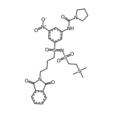 C[Si](C)(C)CCS(=O)(=O)N=S(=O)(CCCCN1C(=O)c2ccccc2C1=O)c1cc(NC(=O)N2CCCC2)cc([N+](=O)[O-])c1